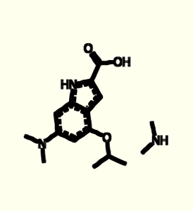 CC(C)Oc1cc(N(C)C)cc2[nH]c(C(=O)O)cc12.CNC